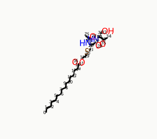 CCCCCCCCCCCCCCCC(=O)OCCSC[C@H](NC(C)=O)C(=O)N[C@@H](CO)C(C)=O